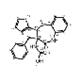 O=C(O)N[C@@]1(Cc2ccccc2)C(=O)Nc2ccccc2S[C@@H]1c1cccs1